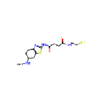 CCCNC1CCc2nc(NC(=O)CCC(=O)NCCS)sc2C1